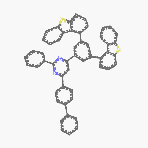 c1ccc(-c2ccc(-c3cc(-c4cc(-c5cccc6sc7ccccc7c56)cc(-c5cccc6sc7ccccc7c56)c4)nc(-c4ccccc4)n3)cc2)cc1